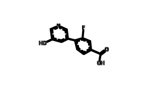 O=C(O)c1ccc(-c2cncc(O)c2)c(F)c1